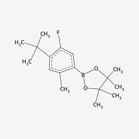 Cc1cc(C(C)(C)C)c(F)cc1B1OC(C)(C)C(C)(C)O1